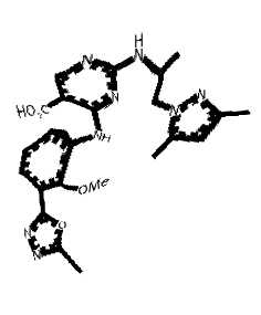 COc1c(Nc2nc(NC(C)Cn3nc(C)cc3C)ncc2C(=O)O)cccc1-c1nnc(C)o1